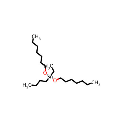 CCCCCCC[O][Sn]([CH2]C)([CH2]CCC)[O]CCCCCCC